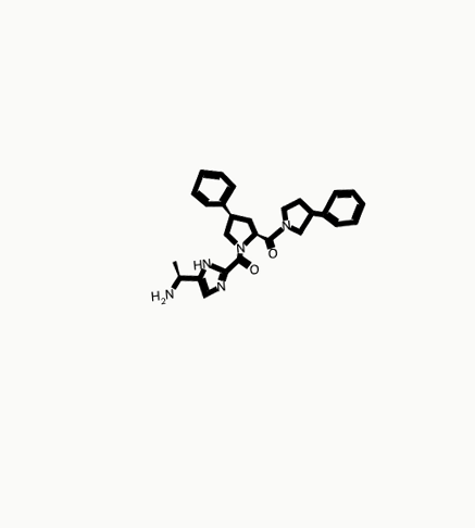 C[C@H](N)c1cnc(C(=O)N2C[C@@H](c3ccccc3)C[C@H]2C(=O)N2CCC(c3ccccc3)C2)[nH]1